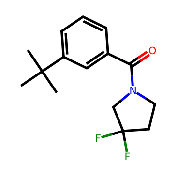 CC(C)(C)c1cccc(C(=O)N2CCC(F)(F)C2)c1